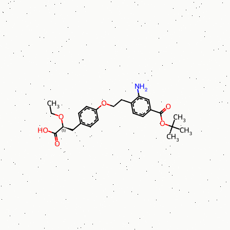 CCO[C@@H](Cc1ccc(OCCc2ccc(C(=O)OC(C)(C)C)cc2N)cc1)C(=O)O